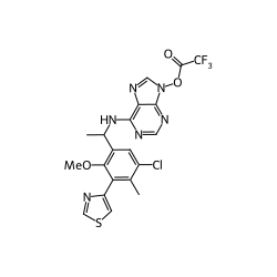 COc1c(C(C)Nc2ncnc3c2ncn3OC(=O)C(F)(F)F)cc(Cl)c(C)c1-c1cscn1